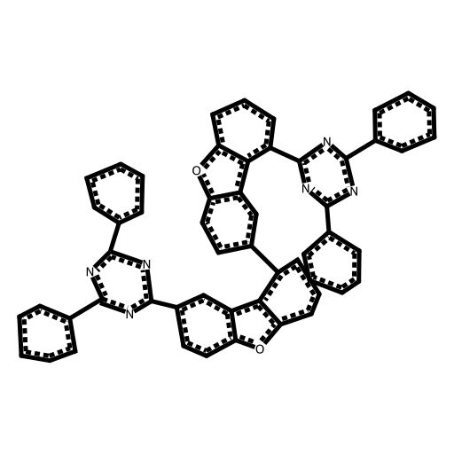 c1ccc(-c2nc(-c3ccccc3)nc(-c3ccc4oc5cccc(-c6ccc7oc8cccc(-c9nc(-c%10ccccc%10)nc(-c%10ccccc%10)n9)c8c7c6)c5c4c3)n2)cc1